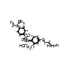 CCCNCCOc1cc(C)c(NS(=O)(=O)c2ccc([C@@H](C)CF)cc2)cn1.Cl